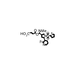 CNC(OC(=O)/C=C/C(=O)O)c1cc(-c2cccnc2F)n(S(=O)(=O)c2cccs2)c1